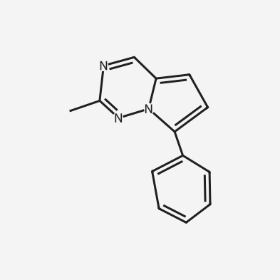 Cc1ncc2ccc(-c3ccccc3)n2n1